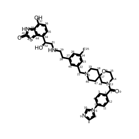 O=C(c1ccc(-n2ccnc2)cc1)N1CCOC2(CCN(Cc3cc(F)cc(CCNCC(O)c4ccc(O)c5[nH]c(=O)sc45)c3)CC2)C1